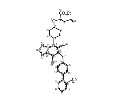 C=CCC(OC1CCC(n2c(=O)c(Cc3ccc(-c4ccccc4C#N)cc3)c(CCC)n3ncnc23)CC1)C(=O)OCC